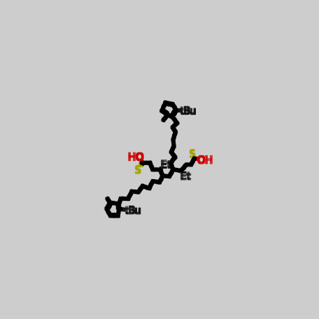 CCC(CCC(O)=S)C(CCCCCCCCc1c(C)cccc1C(C)(C)C)CC(CCCCCCCCc1c(C)cccc1C(C)(C)C)C(CC)CCC(O)=S